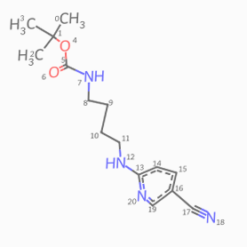 CC(C)(C)OC(=O)NCCCCNc1ccc(C#N)cn1